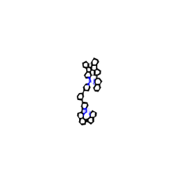 c1cc(-c2ccc(N(c3ccc4c(c3)C3(c5ccccc5-c5ccccc53)c3ccccc3-4)c3cccc4ccccc34)cc2)cc(-c2ccc3c(c2)c2ccc4ccccc4c2n3-c2cccc3ccccc23)c1